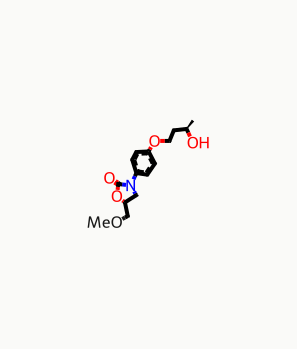 COCC1CN(c2ccc(OCC[C@@H](C)O)cc2)C(=O)O1